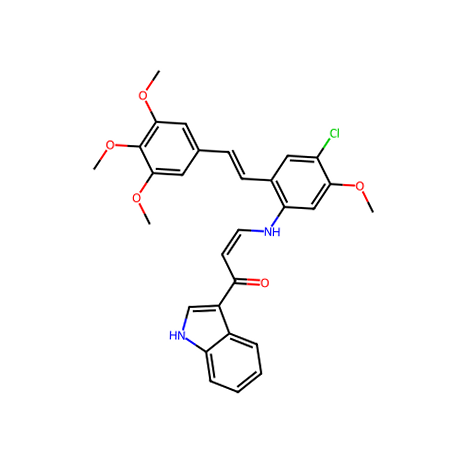 COc1cc(N/C=C\C(=O)c2c[nH]c3ccccc23)c(/C=C/c2cc(OC)c(OC)c(OC)c2)cc1Cl